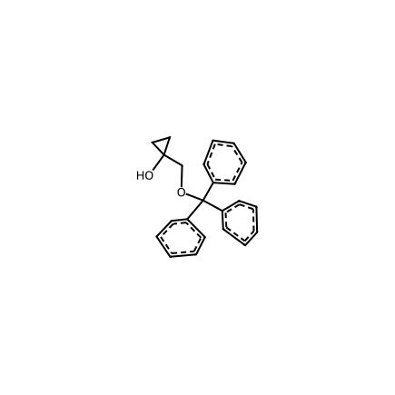 OC1(COC(c2ccccc2)(c2ccccc2)c2ccccc2)CC1